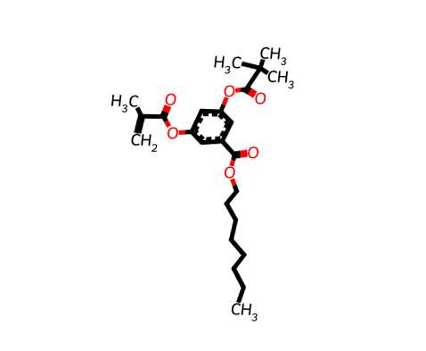 C=C(C)C(=O)Oc1cc(OC(=O)C(C)(C)C)cc(C(=O)OCCCCCCCC)c1